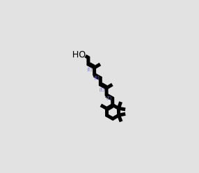 CC1=C(/C=C/C(C)=C/C=C/C(C)=C/CO)C(C)(C)C(C)(C)CC1